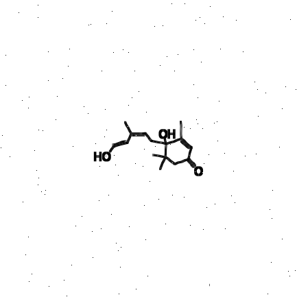 CC(C=CO)=CCC1(O)C(C)=CC(=O)CC1(C)C